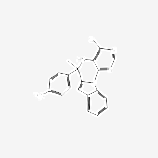 CC1(c2ccc([N+](=O)[O-])cc2)Nc2c(Cl)ncnc2-n2c1cc1ccccc12